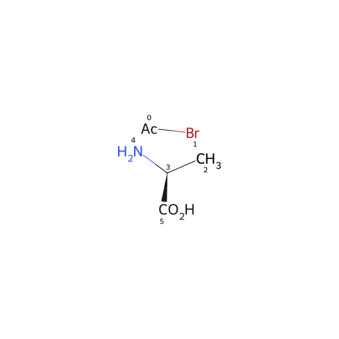 CC(=O)Br.C[C@H](N)C(=O)O